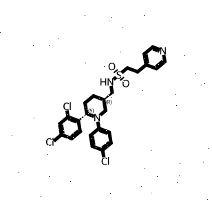 O=S(=O)(CCc1ccncc1)NC[C@@H]1CC[C@@H](c2ccc(Cl)cc2Cl)N(c2ccc(Cl)cc2)C1